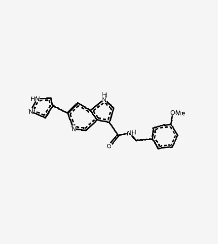 COc1cccc(CNC(=O)c2c[nH]c3cc(-c4cn[nH]c4)ncc23)c1